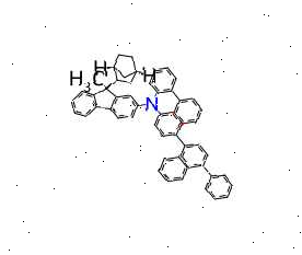 CC1([C@@H]2C[C@H]3CC[C@@H]2C3)c2ccccc2-c2ccc(N(c3ccc(-c4ccc(-c5ccccc5)c5ccccc45)cc3)c3ccccc3-c3ccccc3)cc21